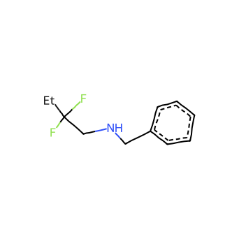 CCC(F)(F)CNCc1ccccc1